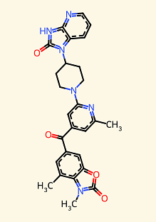 Cc1cc(C(=O)c2cc(C)c3c(c2)oc(=O)n3C)cc(N2CCC(n3c(=O)[nH]c4ncccc43)CC2)n1